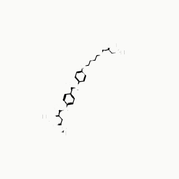 C=C(CO)C(=O)OCCCCOc1ccc(OC(=O)c2ccc(OC(=O)C(=C)CC(=O)OC)cc2)cc1